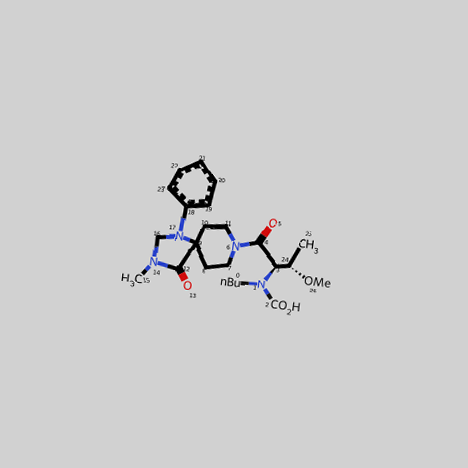 CCCCN(C(=O)O)[C@@H](C(=O)N1CCC2(CC1)C(=O)N(C)CN2c1ccccc1)[C@H](C)OC